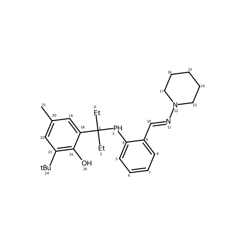 CCC(CC)(Pc1ccccc1/C=N/N1CCCCC1)c1cc(C)cc(C(C)(C)C)c1O